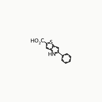 O=C(O)c1cc2[nH]c(-c3ccccc3)cc2s1